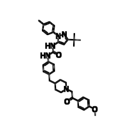 COc1ccc(C(=O)CN2CCC(Cc3ccc(NC(=O)Nc4cc(C(C)(C)C)nn4-c4ccc(C)cc4)cc3)CC2)cc1